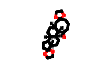 C[C@]12CC[C@@H]3[C@@H]4C(=O)CCCC5(C[C@@H]4CC[C@H]3C1CCC21OCCO1)OCCO5